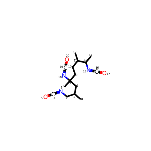 CC(CN=C=O)CC(C)(CCC(C)C(C)N=C=O)N=C=O